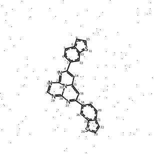 C1=NC2=NC(c3ccc4ccsc4c3)=CC3=CC(c4ccc5ccsc5c4)=NC(=N1)N32